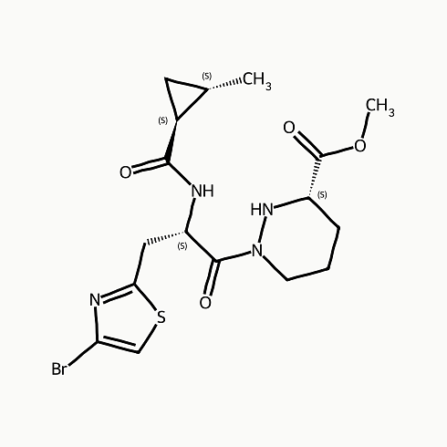 COC(=O)[C@@H]1CCCN(C(=O)[C@H](Cc2nc(Br)cs2)NC(=O)[C@H]2C[C@@H]2C)N1